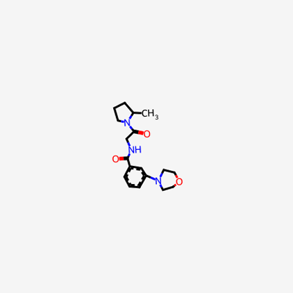 CC1CCCN1C(=O)CNC(=O)c1cccc(N2CCOCC2)c1